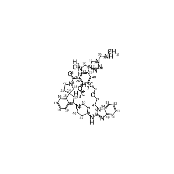 CCOCCn1c(NC2CCN(CCC3(c4ccccc4)CCN(C(=O)c4cc([N+]5(CNC)CN(CNC)N=N5)ccc4OC)C3)CC2)nc2ccccc21